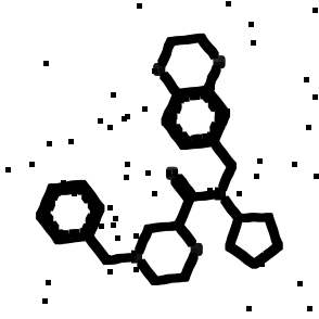 O=C(C1CN(Cc2ccccc2)CCO1)N(Cc1ccc2c(c1)OCCO2)C1CCCC1